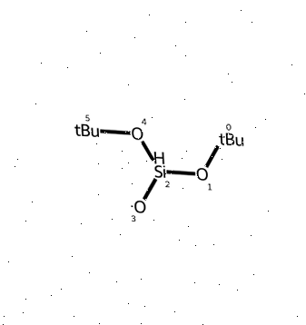 CC(C)(C)O[SiH]([O])OC(C)(C)C